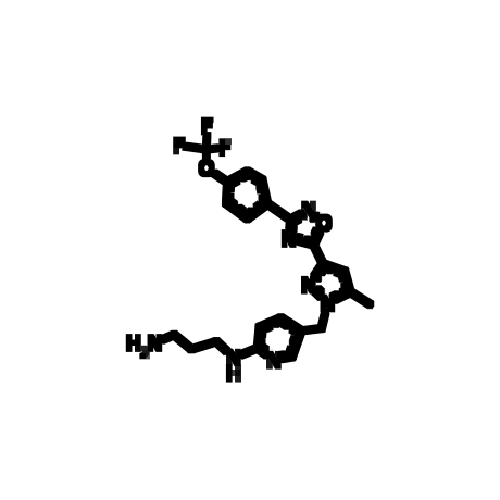 Cc1cc(-c2nc(-c3ccc(OC(F)(F)F)cc3)no2)nn1Cc1ccc(NCCCN)nc1